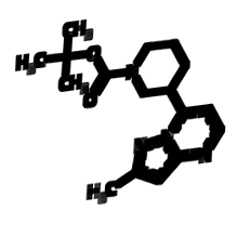 Cc1cc2nccc(C3CCCN(C(=O)OC(C)(C)C)C3)n2n1